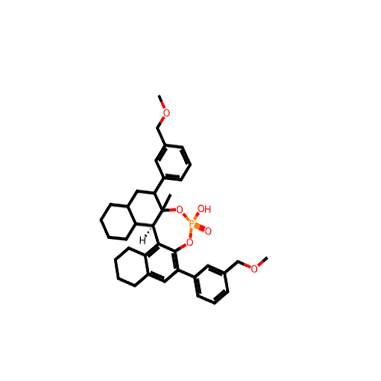 COCc1cccc(-c2cc3c(c4c2OP(=O)(O)OC2(C)C(c5cccc(COC)c5)CC5CCCCC5[C@H]42)CCCC3)c1